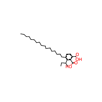 CCCCCCCCCCCCCCCCCc1ccc(C(=O)O)c(C(=O)O)c1C(C)CC